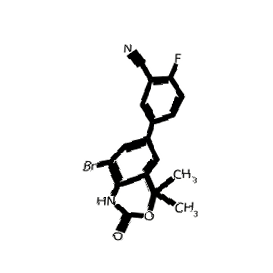 CC1(C)OC(=O)Nc2c(Br)cc(-c3ccc(F)c(C#N)c3)cc21